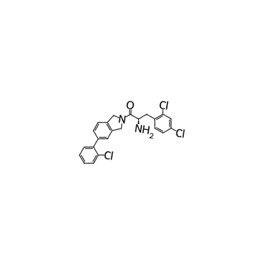 N[C@H](Cc1ccc(Cl)cc1Cl)C(=O)N1Cc2ccc(-c3ccccc3Cl)cc2C1